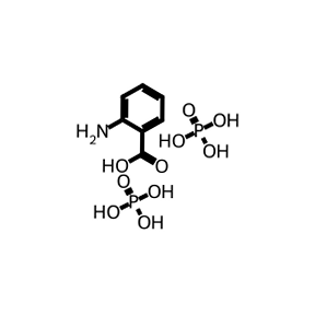 Nc1ccccc1C(=O)O.O=P(O)(O)O.O=P(O)(O)O